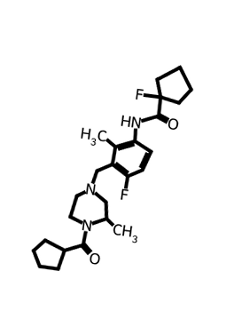 Cc1c(NC(=O)C2(F)CCCC2)ccc(F)c1CN1CCN(C(=O)C2CCCC2)C(C)C1